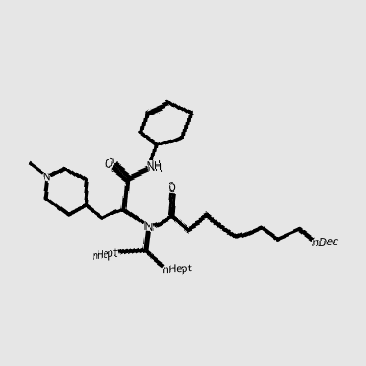 CCCCCCCCCCCCCCCCC(=O)N(C(CCCCCCC)CCCCCCC)C(CC1CCN(C)CC1)C(=O)NC1CCCCC1